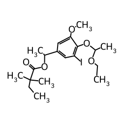 CCOC(C)Oc1c(I)cc(C(C)OC(=O)C(C)(C)CC)cc1OC